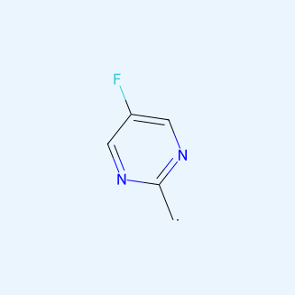 [CH2]c1ncc(F)cn1